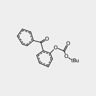 CC(C)(C)OC(=O)Oc1ccccc1C(=O)c1ccccc1